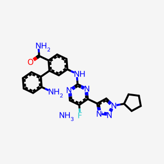 N.NC(=O)c1ccc(Nc2ncc(F)c(-c3cn(C4CCCC4)nn3)n2)cc1-c1ccccc1N